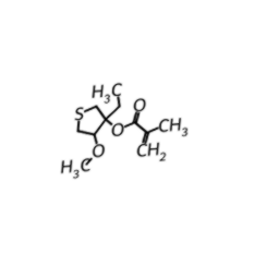 C=C(C)C(=O)OC1(CC)CSCC1OC